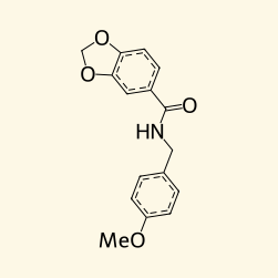 COc1ccc(CNC(=O)c2ccc3c(c2)OCO3)cc1